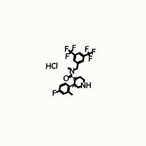 Cc1cc(F)ccc1[C@@H]1CNCC[C@H]1C(=O)N(C)Cc1cc(C(F)(F)F)cc(C(F)(F)F)c1.Cl